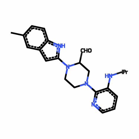 Cc1ccc2[nH]c(N3CCN(c4ncccc4NC(C)C)CC3C=O)cc2c1